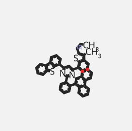 C/C=C\c1sc2c(-c3cc(-c4cccc5c4sc4ccccc45)nc(-c4ccccc4-c4cc5ccccc5c5ccccc45)n3)cccc2c1C